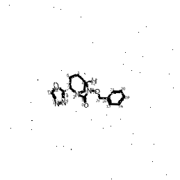 O=C1N2C[C@H](CC[C@H]2c2nnco2)N1OCc1ccccc1